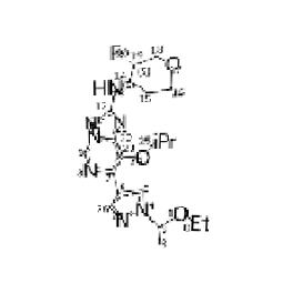 CCOC(C)n1cc(-c2ncn3nc(N[C@H]4CCOC[C@H]4F)nc3c2OC(C)C)cn1